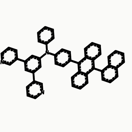 c1ccc(N(c2ccc(-c3c4ccccc4c(-c4cccc5ccccc45)c4ccccc34)cc2)c2cc(-c3cccnc3)cc(-c3cccnc3)c2)cc1